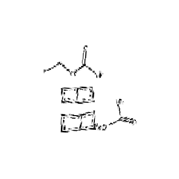 CCCC(=O)OC.CCCC(=O)OCF.c1cc2ccc1-2.c1cc2ccc1-2